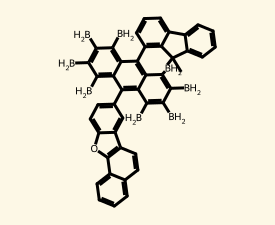 Bc1c(B)c(B)c2c(-c3cccc4c3C(C)(C)c3ccccc3-4)c3c(B)c(B)c(B)c(B)c3c(-c3ccc4oc5c6ccccc6ccc5c4c3)c2c1B